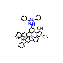 N#Cc1ccc(-c2cc(-c3nc(-c4ccccc4)nc(-c4ccccc4)n3)cc(-c3ccc(C#N)cc3C#N)c2-n2c3ccccc3c3cc4c5ccccc5n(-c5ccccc5)c4cc32)c(C#N)c1